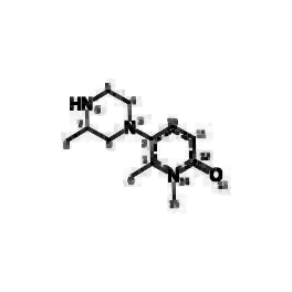 Cc1c(N2CCNC(C)C2)ccc(=O)n1C